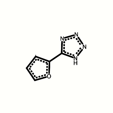 [c]1ccoc1-c1nnn[nH]1